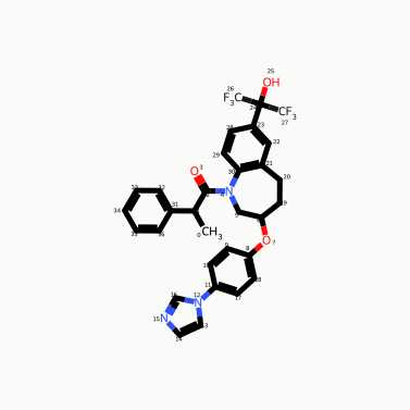 CC(C(=O)N1CC(Oc2ccc(-n3ccnc3)cc2)CCc2cc(C(O)(C(F)(F)F)C(F)(F)F)ccc21)c1ccccc1